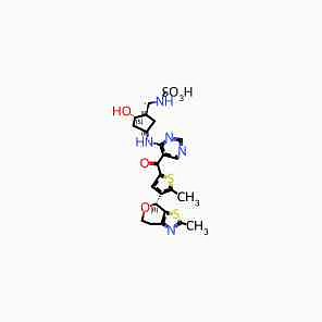 Cc1nc2c(s1)[C@@H](c1cc(C(=O)c3cncnc3N[C@H]3C[C@H](O)[C@@H]([CH]NS(=O)(=O)O)C3)sc1C)OCC2